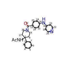 CC(=O)NC1(c2ccccc2)CCN(C(=O)c2ccc(Nc3ccncc3)cc2)CC1